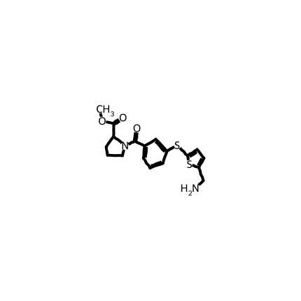 COC(=O)C1CCCN1C(=O)c1cccc(Sc2ccc(CN)s2)c1